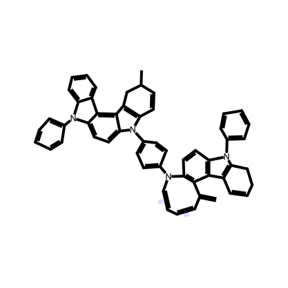 C=C1/C=C\C=C/N(c2ccc(-n3c4c(c5c6c7ccccc7n(-c7ccccc7)c6ccc53)CC(C)C=C4)cc2)c2ccc3c(c4c(n3-c3ccccc3)CCC=C4)c21